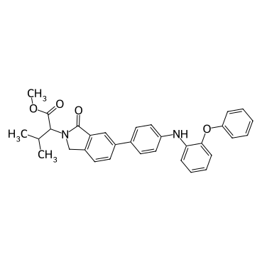 COC(=O)C(C(C)C)N1Cc2ccc(-c3ccc(Nc4ccccc4Oc4ccccc4)cc3)cc2C1=O